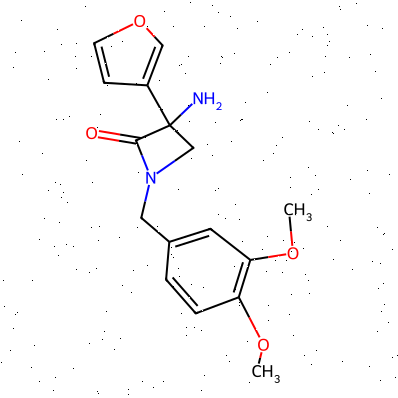 COc1ccc(CN2CC(N)(c3ccoc3)C2=O)cc1OC